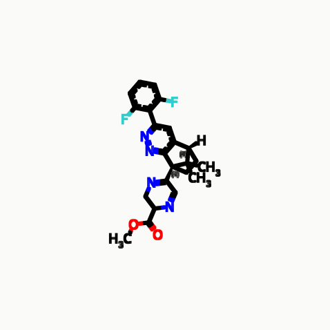 COC(=O)C1CN=C([C@@]23CC[C@@H](c4cc(-c5c(F)cccc5F)nnc42)C3(C)C)C=N1